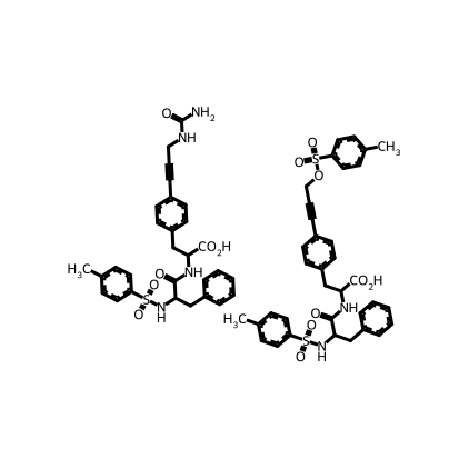 Cc1ccc(S(=O)(=O)NC(Cc2ccccc2)C(=O)NC(Cc2ccc(C#CCNC(N)=O)cc2)C(=O)O)cc1.Cc1ccc(S(=O)(=O)NC(Cc2ccccc2)C(=O)NC(Cc2ccc(C#CCOS(=O)(=O)c3ccc(C)cc3)cc2)C(=O)O)cc1